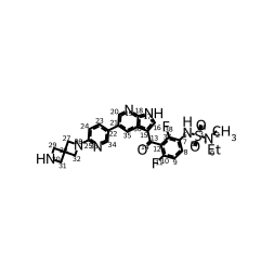 CCN(C)S(=O)(=O)Nc1ccc(F)c(C(=O)c2c[nH]c3ncc(-c4ccc(N5CC6(CNC6)C5)nc4)cc23)c1F